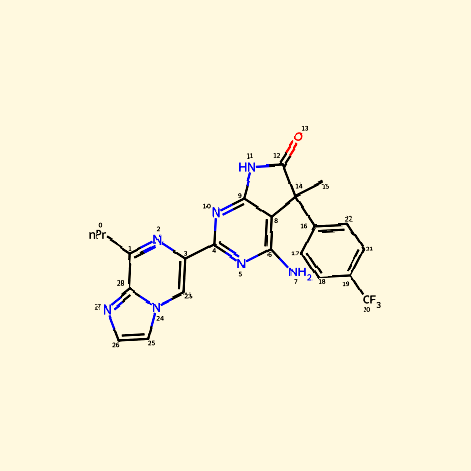 CCCc1nc(-c2nc(N)c3c(n2)NC(=O)C3(C)c2ccc(C(F)(F)F)cc2)cn2ccnc12